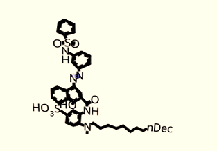 CCCCCCCCCCCCCCCCCCN(C)c1ccc(S(=O)(=O)O)cc1NC(=O)c1cc(/N=N/c2cccc(NS(=O)(=O)c3ccccc3)c2)c2ccccc2c1O